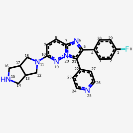 Fc1ccc(-c2nc3ccc(N4CC5CNCC5C4)nn3c2-c2ccncc2)cc1